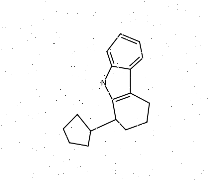 c1ccc2c(c1)[N]C1=C2CCCC1C1CCCC1